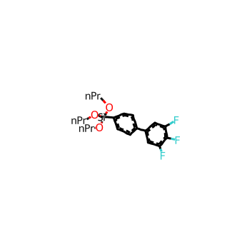 CCCO[Si](OCCC)(OCCC)c1ccc(-c2cc(F)c(F)c(F)c2)cc1